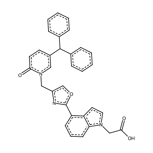 O=C(O)Cn1ccc2c(-c3nc(Cn4cc(C(c5ccccc5)c5ccccc5)ccc4=O)co3)cccc21